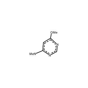 CNc1cc(OC)ncn1